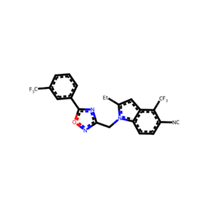 [C-]#[N+]c1ccc2c(cc(CC)n2Cc2noc(-c3cccc(C(F)(F)F)c3)n2)c1C(F)(F)F